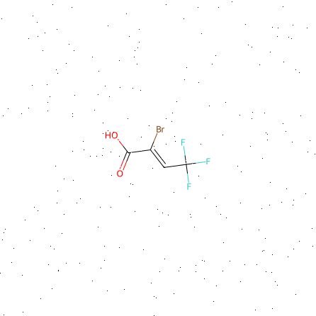 O=C(O)C(Br)=CC(F)(F)F